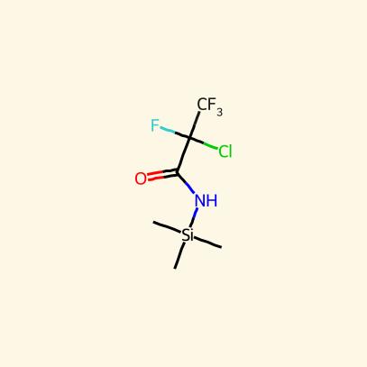 C[Si](C)(C)NC(=O)C(F)(Cl)C(F)(F)F